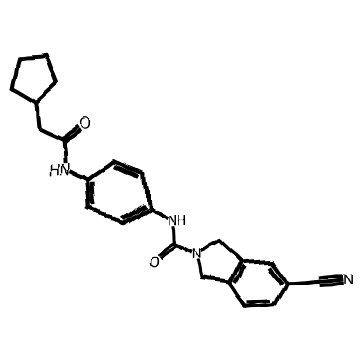 N#Cc1ccc2c(c1)CN(C(=O)Nc1ccc(NC(=O)CC3CCCC3)cc1)C2